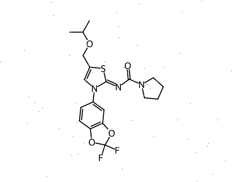 CC(C)OCc1cn(-c2ccc3c(c2)OC(F)(F)O3)c(=NC(=O)N2CCCC2)s1